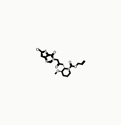 C=CCOC(=O)N1CCC[C@@H](OC)[C@@H]1CC(=O)Cn1cnc2cc(Cl)sc2c1=O